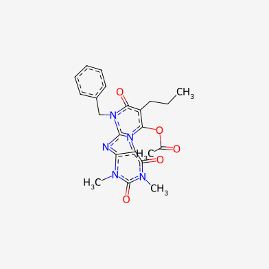 CCCc1c(OC(C)=O)n2c3c(=O)n(C)c(=O)n(C)c3nc2n(Cc2ccccc2)c1=O